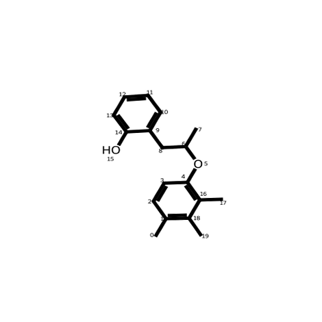 Cc1ccc(OC(C)Cc2ccccc2O)c(C)c1C